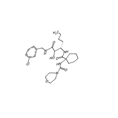 CCCC[C@H](NC(=O)C1(NC(=O)N2CCOCC2)CCCCC1)C(O)C(=O)NCc1cccc(Cl)c1